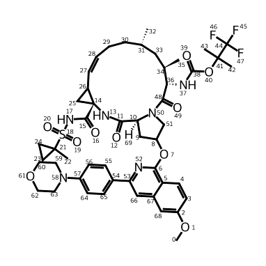 COc1ccc2c(OC3C[C@H]4C(=O)N[C@]5(C(=O)NS(=O)(=O)C6(C)CC6)CC5/C=C\CC[C@H](C)C[C@@H](C)[C@H](NC(=O)OC(C)(C)C(F)(F)F)C(=O)N4C3)nc(-c3ccc(N4CCOCC4)cc3)cc2c1